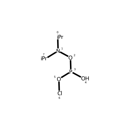 CC(C)N(OP(O)OCl)C(C)C